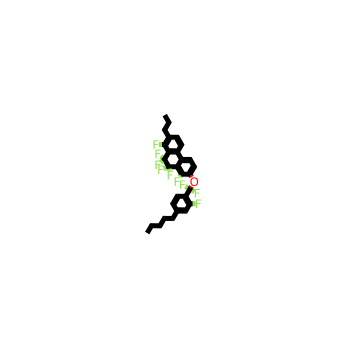 CCCCCc1ccc(C(F)(F)Oc2ccc3c(c2F)C(F)(F)C(F)(F)c2c-3ccc(CCC)c2F)c(F)c1